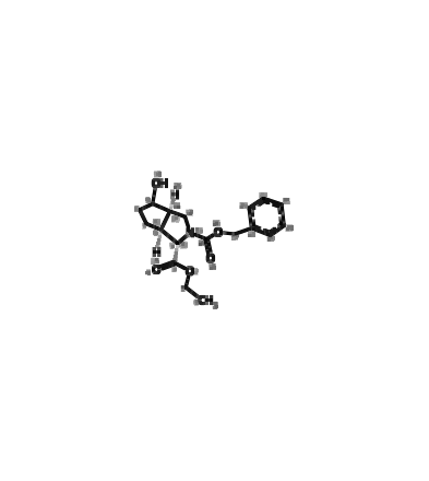 CCOC(=O)[C@@H]1[C@H]2CCC(O)[C@H]2CN1C(=O)OCc1ccccc1